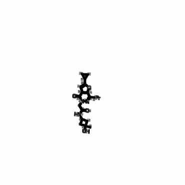 CC(C)c1nn(CC(=O)NC2CC(C)(O)C2)c(=O)c2cc(C3CC3)oc12